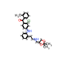 Cc1ccccc1C(=O)c1ccc(Nc2ccccc2CCNCC2COC(C)(C)O2)cc1Cl